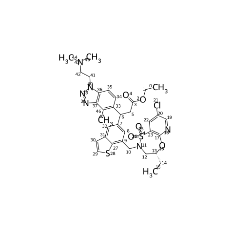 CCOC(=O)CC(c1cc(CN2C[C@@H](CC)Oc3ncc(Cl)cc3S2(=O)=O)c2sccc2c1)c1ccc2c(nnn2CCN(C)C)c1C